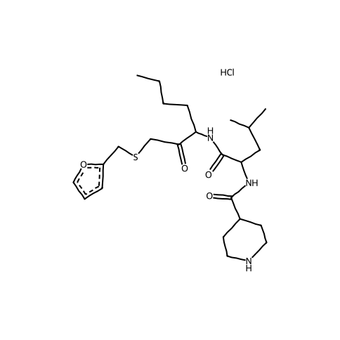 CCCCC(NC(=O)C(CC(C)C)NC(=O)C1CCNCC1)C(=O)CSCc1ccco1.Cl